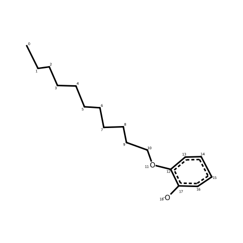 CCCCCCCCCCCOc1ccccc1[O]